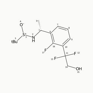 C[C@@H](N[S+]([O-])C(C)(C)C)c1cccc(C(F)(F)CO)c1F